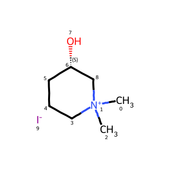 C[N+]1(C)CCC[C@H](O)C1.[I-]